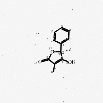 CC1=C(O)[C@](C)(c2ccccc2)OC1=O